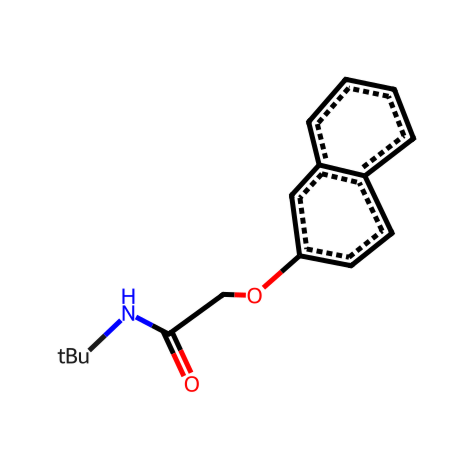 CC(C)(C)NC(=O)COc1ccc2ccccc2c1